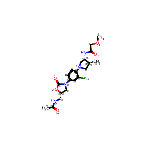 COCC(=O)N[C@H]1CN(c2ccc(N3C[C@H](CNC(C)=O)OC3=O)cc2F)C[C@@H]1C